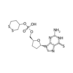 Nc1nc2c(ncn2[C@H]2CC[C@@H](COP(=O)(O)OC3CCSSC3)O2)c(=S)[nH]1